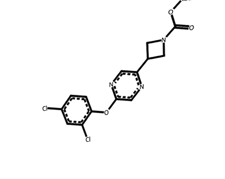 CC(C)(C)OC(=O)N1CC(c2cnc(Oc3ccc(Cl)cc3Cl)cn2)C1